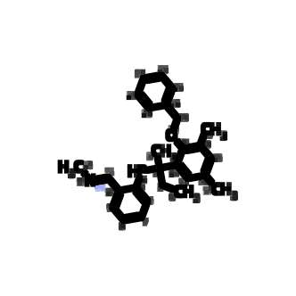 CCC(C)(Pc1ccccc1/C=N/C)c1cc(C)cc(C)c1OCc1ccccc1